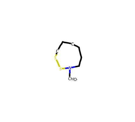 O=[C]N1CCCCCCSS1